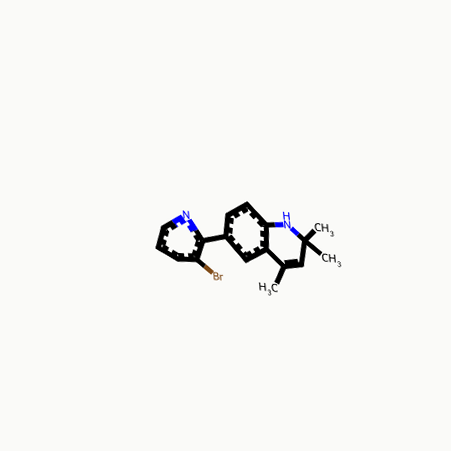 CC1=CC(C)(C)Nc2ccc(-c3ncccc3Br)cc21